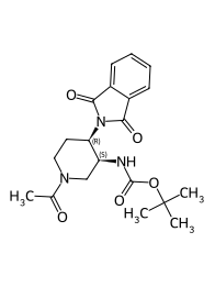 CC(=O)N1CC[C@@H](N2C(=O)c3ccccc3C2=O)[C@@H](NC(=O)OC(C)(C)C)C1